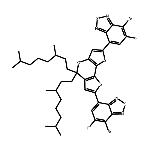 CC(C)CCCC(C)CCC1(CCC(C)CCCC(C)C)Oc2cc(-c3cc(F)c(Br)c4nsnc34)sc2-c2sc(-c3cc(F)c(Br)c4nsnc34)cc21